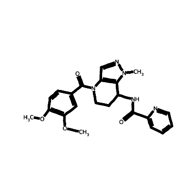 COc1ccc(C(=O)N2CCC(NC(=O)c3ccccn3)c3c2cnn3C)cc1OC